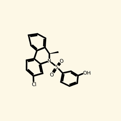 C[C@@H]1c2ccccc2-c2ccc(Cl)cc2N1S(=O)(=O)c1cccc(O)c1